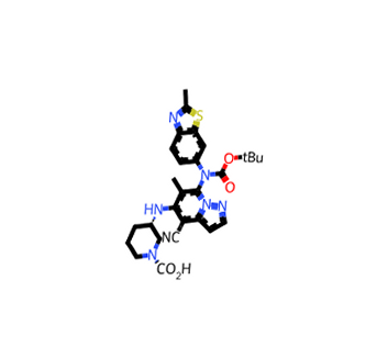 Cc1nc2ccc(N(C(=O)OC(C)(C)C)c3c(C)c(N[C@H]4CCCN(C(=O)O)C4)c(C#N)c4ccnn34)cc2s1